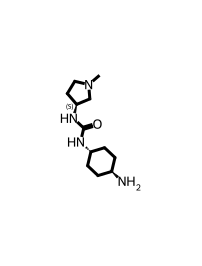 CN1CC[C@H](NC(=O)N[C@H]2CC[C@H](N)CC2)C1